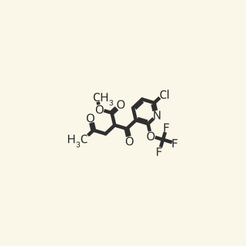 COC(=O)C(CC(C)=O)C(=O)c1ccc(Cl)nc1OC(F)(F)F